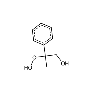 CC(CO)(OO)c1ccccc1